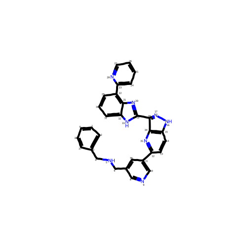 c1ccc(CNCc2cncc(-c3ccc4[nH]nc(-c5nc6c(-c7ccccn7)cccc6[nH]5)c4n3)c2)cc1